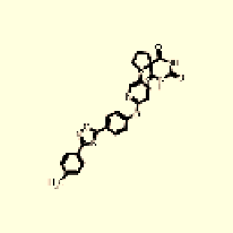 Cc1ccc(-c2noc(-c3ccc(Oc4ccc(N5CCCC56C(=O)NC(=O)NC6=O)cn4)cc3)n2)cc1